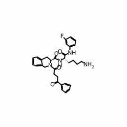 NCCCC[C@H](NC(=O)[C@@H]1Cc2ccccc2CN1C(=O)CCC(=O)c1ccccc1)C(=O)Nc1cccc(F)c1